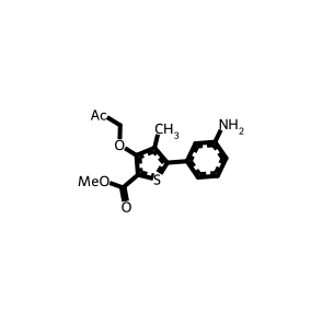 COC(=O)c1sc(-c2cccc(N)c2)c(C)c1OCC(C)=O